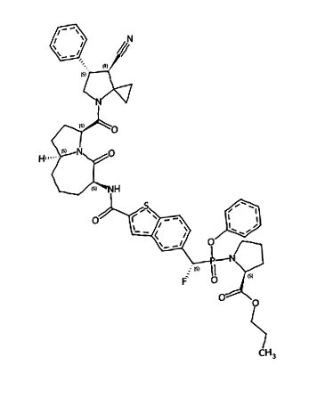 CCCOC(=O)[C@@H]1CCCN1P(=O)(Oc1ccccc1)[C@H](F)c1ccc2sc(C(=O)N[C@H]3CCC[C@H]4CC[C@@H](C(=O)N5C[C@H](c6ccccc6)[C@@H](C#N)C56CC6)N4C3=O)cc2c1